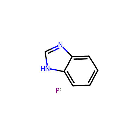 [P].c1ccc2[nH]cnc2c1